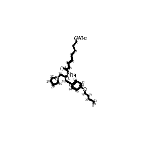 COCCCCCCCC(=O)N[C@@H](Cc1ccc(OCCCCF)cc1)CN1CCCC1